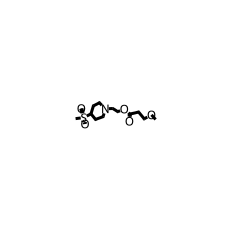 COCCC(=O)OCCN1CCC(S(C)(=O)=O)CC1